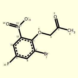 CC(=O)COc1c(Br)cc(F)cc1[N+](=O)[O-]